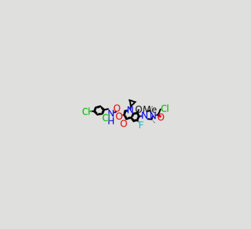 COc1c(N2C[C@@H](C)N(C(=O)CCl)[C@@H](C)C2)c(F)cc2c(=O)c(OC(=O)NCc3ccc(Cl)cc3Cl)cn(C3CC3)c12